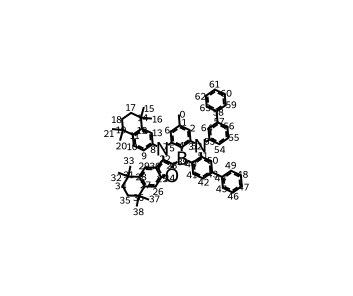 Cc1cc2c3c(c1)N(c1ccc4c(c1)C(C)(C)CCC4(C)C)c1c(oc4cc5c(cc14)C(C)(C)CCC5(C)C)B3c1ccc(-c3ccccc3)cc1N2c1cccc(-c2ccccc2)c1